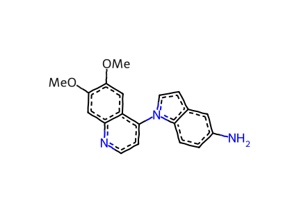 COc1cc2nccc(-n3ccc4cc(N)ccc43)c2cc1OC